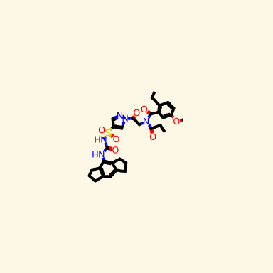 CCC(=O)N(CC(=O)n1cc(S(=O)(=O)NC(=O)Nc2c3c(cc4c2CCC4)CCC3)cn1)C(=O)c1cc(OC)ccc1CC